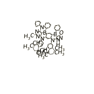 Cc1nc2c3c(n1)N(c1ccc4c(c1)C(C)(C)CCC4(C)C)c1cc4c(cc1B3c1ccccc1N2c1ccccc1)B1c2ccccc2Oc2n[nH]c(c21)N4c1ccc2c(c1)C(C)(C)CCC2(C)C